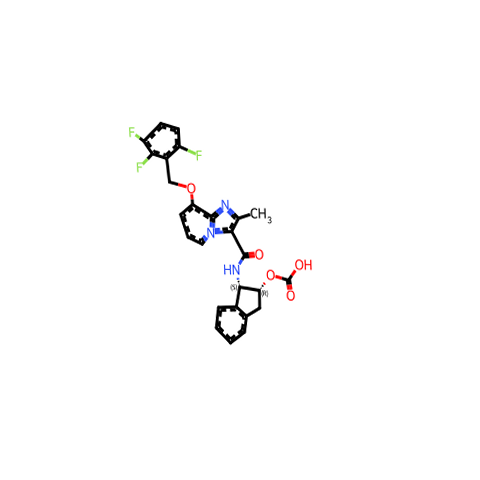 Cc1nc2c(OCc3c(F)ccc(F)c3F)cccn2c1C(=O)N[C@H]1c2ccccc2C[C@H]1OC(=O)O